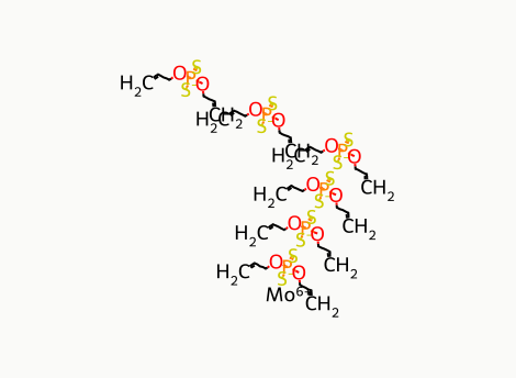 C=CCOP(=S)([S-])OCC=C.C=CCOP(=S)([S-])OCC=C.C=CCOP(=S)([S-])OCC=C.C=CCOP(=S)([S-])OCC=C.C=CCOP(=S)([S-])OCC=C.C=CCOP(=S)([S-])OCC=C.[Mo+6]